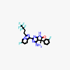 CC1(c2cccc(F)c2)C(=O)Nc2nc(-c3nc(CCC(F)(F)C(F)(F)F)n4cc(F)ccc34)nc(N)c21